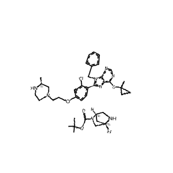 CC(C)(C)OC(=O)N1C[C@@H]2C[C@H]1CN2.C[C@H]1CN(CCOc2ccc(-c3nc4c(OC5(C)CC5)ncnc4n3Cc3ccccc3)c(Cl)c2)CCN1